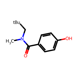 CN(CC(C)(C)C)C(=O)c1ccc(O)cc1